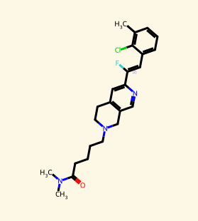 Cc1cccc(/C=C(\F)c2cc3c(cn2)CN(CCCCC(=O)N(C)C)CC3)c1Cl